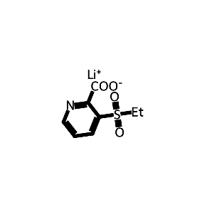 CCS(=O)(=O)c1cccnc1C(=O)[O-].[Li+]